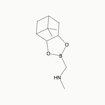 CNCB1OC2CC3CC(C2O1)C3(C)C